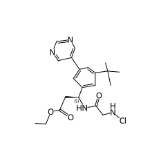 CCOC(=O)C[C@H](NC(=O)CNCl)c1cc(-c2cncnc2)cc(C(C)(C)C)c1